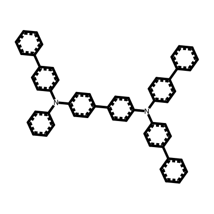 c1ccc(-c2ccc(N(c3ccccc3)c3ccc(-c4ccc(N(c5ccc(-c6ccccc6)cc5)c5ccc(-c6ccccc6)cc5)cc4)cc3)cc2)cc1